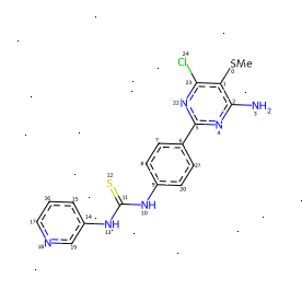 CSc1c(N)nc(-c2ccc(NC(=S)Nc3cccnc3)cc2)nc1Cl